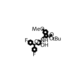 COc1ccc2c(c1)c(CN[C@@H]1CO[C@H](C(c3ccc(F)cc3)c3ccc(F)cc3)C[C@H]1O)cn2C(=O)OC(C)(C)C